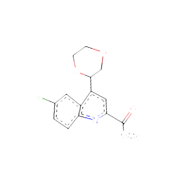 COC(=O)c1cc(C2COCCO2)c2cc(Br)ccc2n1